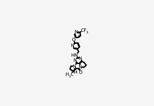 C[C@H]1CCN2c3nc(NCc4ccc(Oc5ccc(C(F)(F)F)nc5)nc4)nc4c3N(CCC4)C(=O)[C@H]12